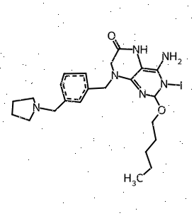 CCCCCOC1N=C2C(=C(N)N1I)NC(=O)CN2Cc1cccc(CN2CCCC2)c1